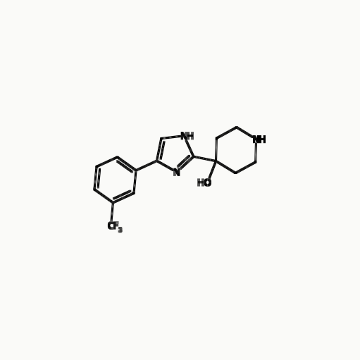 OC1(c2nc(-c3cccc(C(F)(F)F)c3)c[nH]2)CCNCC1